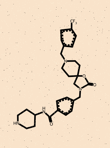 O=C(NC1CCNCC1)c1ccc(CN2CC3(CCN(Cc4ccc(C(F)(F)F)cc4)CC3)OC2=O)cc1